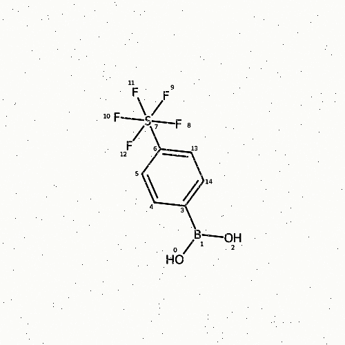 OB(O)c1ccc(S(F)(F)(F)(F)F)cc1